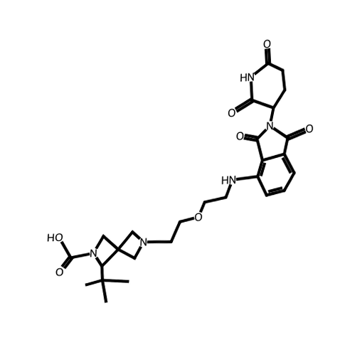 CC(C)(C)C1N(C(=O)O)CC12CN(CCOCCNc1cccc3c1C(=O)N(C1CCC(=O)NC1=O)C3=O)C2